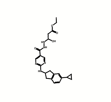 CCOC(=O)CC(O)NNC(=O)c1cnc(NC2Cc3ccc(C4CC4)cc3C2)nc1